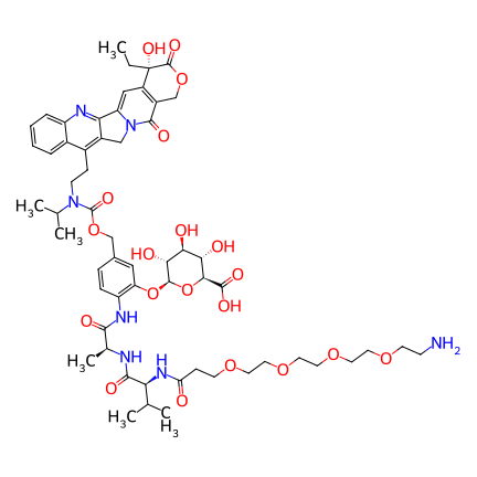 CC[C@@]1(O)C(=O)OCc2c1cc1n(c2=O)Cc2c-1nc1ccccc1c2CCN(C(=O)OCc1ccc(NC(=O)[C@H](C)NC(=O)[C@@H](NC(=O)CCOCCOCCOCCOCCN)C(C)C)c(O[C@@H]2O[C@H](C(=O)O)[C@@H](O)[C@H](O)[C@H]2O)c1)C(C)C